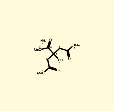 COC(=O)CC(O)(CC(=O)OC)C(=O)OC.N